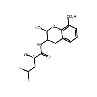 O=C(O)c1cccc2c1OB(O)C(NC(=O)[C@H](Cl)CC(F)F)C2